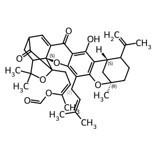 C=C(C)C1CC[C@]2(C)C[C@@H]1c1c(O)c3c(c(CC=C(C)C)c1O2)O[C@]12C(=CC4CC1C(C)(C)OC2(C/C=C(/C)OC=O)C4=O)C3=O